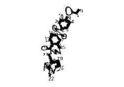 CCOc1ccc(S(=O)(=O)c2ccc3c(=O)n(Cc4ccn(C)n4)ncc3c2)cc1